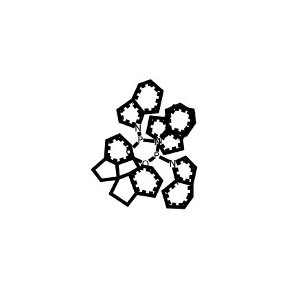 c1cc2c(c(OP(n3ccc4ccccc43)n3ccc4ccccc43)c1)C1(CC2)CCc2cccc(OP(n3ccc4ccccc43)n3ccc4ccccc43)c21